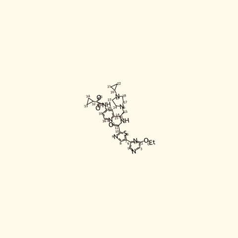 CCOc1cncc(-c2cnc(C(=O)N[C@H](CN3CCN(C4CC4)CC3)c3cc(NS(=O)(=O)C4CC4)ccn3)s2)n1